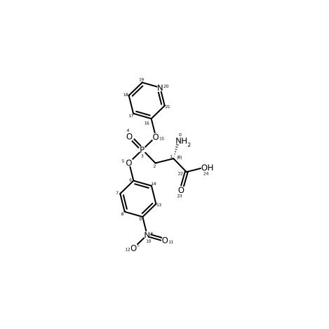 N[C@@H](CP(=O)(Oc1ccc([N+](=O)[O-])cc1)Oc1cccnc1)C(=O)O